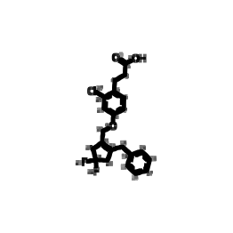 O=C(O)CCc1ccc(OCC2=C(Cc3ccccc3)CC(F)(F)C2)cc1Cl